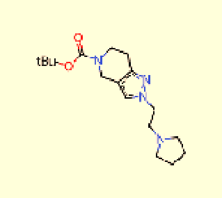 CC(C)(C)OC(=O)N1CCc2nn(CCN3CCCC3)cc2C1